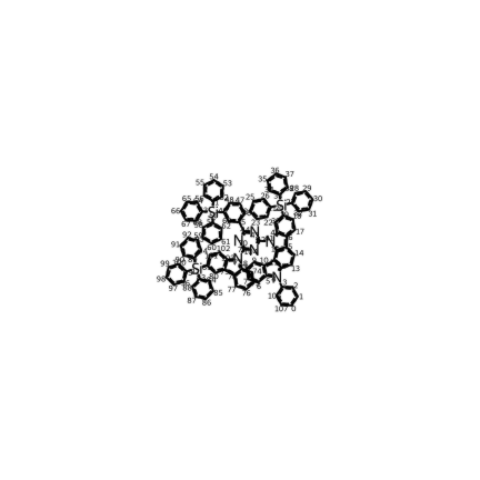 c1ccc(-n2c3ccccc3c3c2ccc2c4ccc([Si](c5ccccc5)(c5ccccc5)c5ccccc5)cc4n(-c4nc(-c5cccc([Si](c6ccccc6)(c6ccccc6)c6ccccc6)c5)nc(-n5c6ccccc6c6cc([Si](c7ccccc7)(c7ccccc7)c7ccccc7)ccc65)n4)c23)cc1